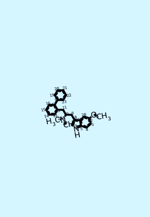 COc1ccc2[nH]cc(CC(Cc3ccccc3-c3ccccc3)N(C)C)c2c1